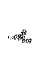 O=C(N[C@@H](COCc1ccccc1)C(=O)O)c1nc(-c2ccc(C(F)(F)F)cc2)oc1-c1cnc2ccccc2n1